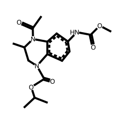 COC(=O)Nc1ccc2c(c1)N(C(C)=O)C(C)CN2C(=O)OC(C)C